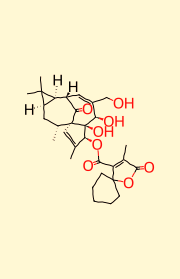 CC1=C[C@]23C(=O)[C@@H](C=C(CO)[C@@H](O)[C@]2(O)[C@H]1OC(=O)C1=C(C)C(=O)OC12CCCCC2)[C@H]1[C@@H](C[C@H]3C)C1(C)C